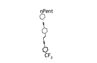 CCCCC[C@H]1CC[C@H](C#CC2CCC(/C=C/C#Cc3ccc(C(F)(F)F)cc3)CC2)CC1